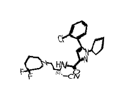 N#CC[C@H](CCN1CCCC(F)(F)C1)NC(=O)c1cc(-c2ccccc2Cl)n(C2CCCC2)n1